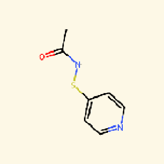 CC(=O)[N]Sc1ccncc1